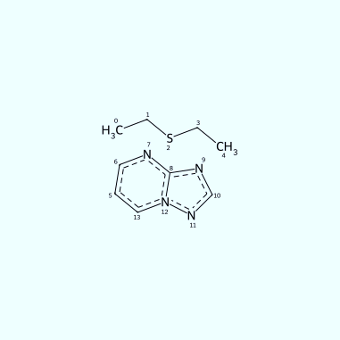 CCSCC.c1cnc2ncnn2c1